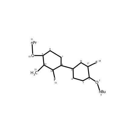 CCCCOC1CCC(C2CCC(OCCC)C(C)C2F)CC1F